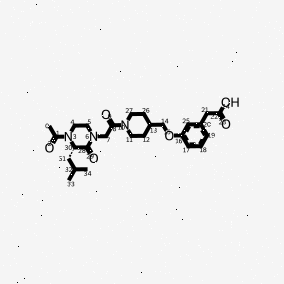 CC(=O)N1CCN(CC(=O)N2CCC(COc3cccc(CC(=O)O)c3)CC2)C(=O)[C@@H]1CC(C)C